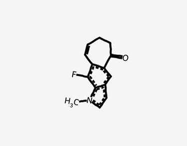 Cn1ccc2cc3c(c(F)c21)C=CCCC3=O